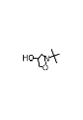 CC(C)(C)N1CC(O)CO1